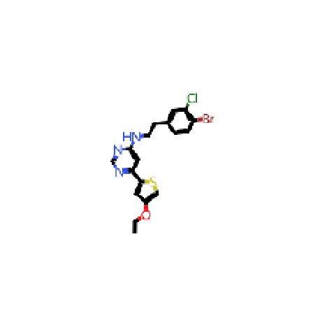 CCOc1csc(-c2cc(NCCc3ccc(Br)c(Cl)c3)ncn2)c1